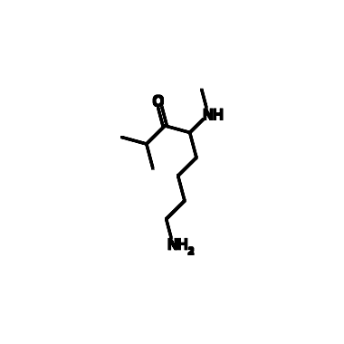 CNC(CCCCN)C(=O)C(C)C